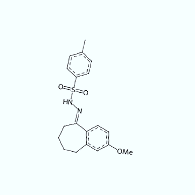 COc1ccc2c(c1)CCCC/C2=N\NS(=O)(=O)c1ccc(C)cc1